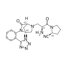 N#C[C@@H]1CCCN1C(=O)[C@@H](N)CN1C[C@@H]2C[C@H]1C(=O)N2c1ccccc1-c1nnn[nH]1